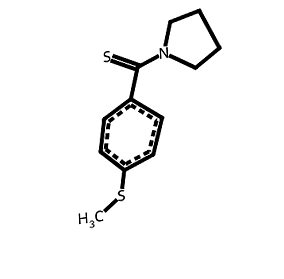 CSc1ccc(C(=S)N2CCCC2)cc1